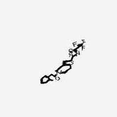 Cc1ccccc1CC(=O)N1CCc2sc(-c3noc(C(F)(F)F)n3)cc2C1